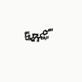 O=C(O)[C@H](Cc1ccc(O)cc1)Nc1ncnc2c1ncn2[C@H]1CC[C@@H](CO)O1